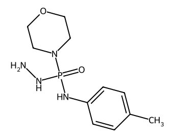 Cc1ccc(NP(=O)(NN)N2CCOCC2)cc1